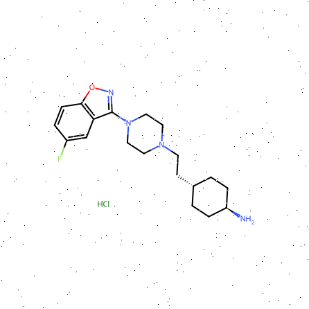 Cl.N[C@H]1CC[C@H](CCN2CCN(c3noc4ccc(F)cc34)CC2)CC1